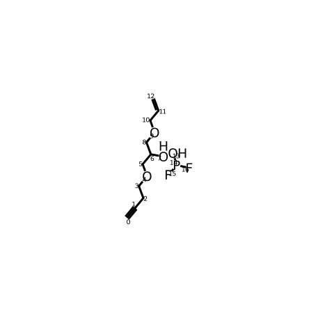 C#CCCOCC(O)COCC=C.OP(F)F